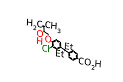 C=C(C)C(O)COc1ccc(C(CC)(CC)c2ccc(C(=O)O)cc2)cc1Cl